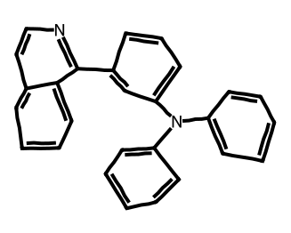 c1ccc(N(c2ccccc2)c2cccc(-c3nccc4ccccc34)c2)cc1